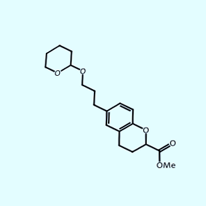 COC(=O)C1CCc2cc(CCCOC3CCCCO3)ccc2O1